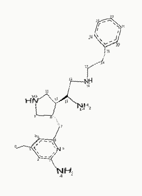 Cc1cc(N)nc(C[C@@H]2CNC[C@H]2C(N)CNCCc2ccccc2)c1